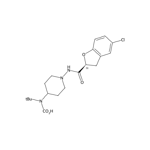 CC(C)(C)N(C(=O)O)C1CCN(NC(=O)[C@@H]2Cc3cc(Cl)ccc3O2)CC1